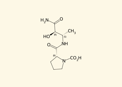 C[C@H](NC(=O)[C@H]1CCCN1C(=O)O)[C@@H](O)C(N)=O